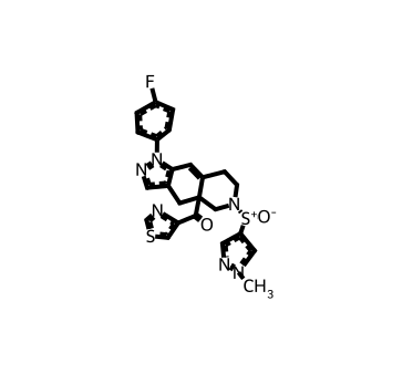 Cn1cc([S+]([O-])N2CCC3=Cc4c(cnn4-c4ccc(F)cc4)CC3(C(=O)c3cscn3)C2)cn1